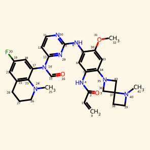 C=CC(=O)Nc1cc(Nc2nccc(N(C=O)c3cc(F)cc4c3N(C)CCC4)n2)c(OC)cc1N1CC2(CCN2C)C1